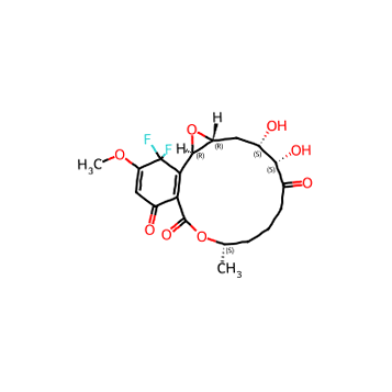 COC1=CC(=O)C2=C([C@H]3O[C@@H]3C[C@H](O)[C@H](O)C(=O)CCC[C@H](C)OC2=O)C1(F)F